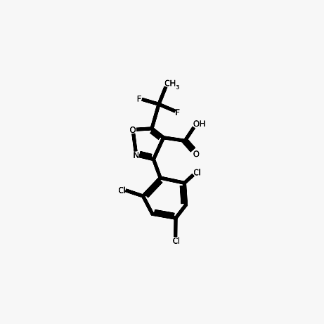 CC(F)(F)c1onc(-c2c(Cl)cc(Cl)cc2Cl)c1C(=O)O